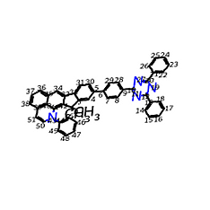 CC1(C)c2cc(-c3ccc(-c4nc(-c5ccccc5)nc(-c5ccccc5)n4)cc3)ccc2-c2cc3cccc4c3c(c21)N(c1ccccc1)C=C4